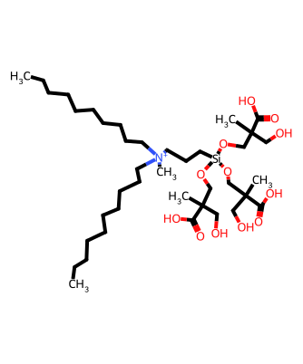 CCCCCCCCCC[N+](C)(CCCCCCCCCC)CCC[Si](OCC(C)(CO)C(=O)O)(OCC(C)(CO)C(=O)O)OCC(C)(CO)C(=O)O